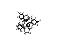 Cc1cc(C)c(C(=O)[PH](=O)C(=O)c2c(C)cc(C)cc2C)c(C)c1.OC1(c2ccccc2)CCCCC1